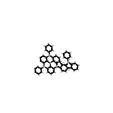 c1ccc(N2c3cccc4c3B3c5c2cccc5-n2c5ccc6c7ccccc7n(-c7ccccc7)c6c5c5ccc(c3c52)N4c2ccccc2)cc1